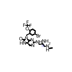 C=CN/C=C(\N)CNc1ncc2[nH]c(=O)n(Cc3cc(Br)ccc3OC(F)(F)F)c2n1